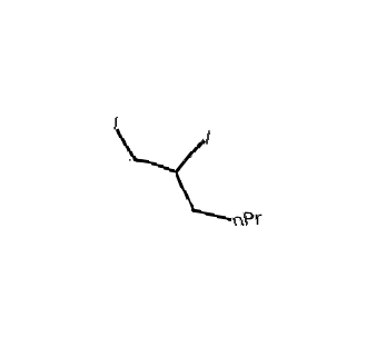 CCCCC(I)[CH]I